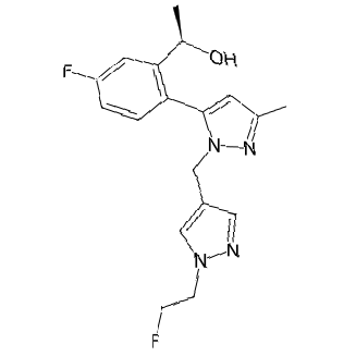 Cc1cc(-c2ccc(F)cc2[C@@H](C)O)n(Cc2cnn(CCF)c2)n1